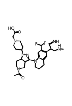 CNCC(C=N)c1cc2c(cc1C(F)F)N(C1=NN(C3CCN(CC(=O)O)CC3)C3CCN(C(C)=O)CC13)CCC2